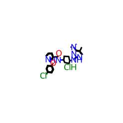 Cc1cnc(NC2CCC(NC(=O)c3cccnc3Oc3ccc(Cl)cc3)CC2)nc1N(C)C.Cl